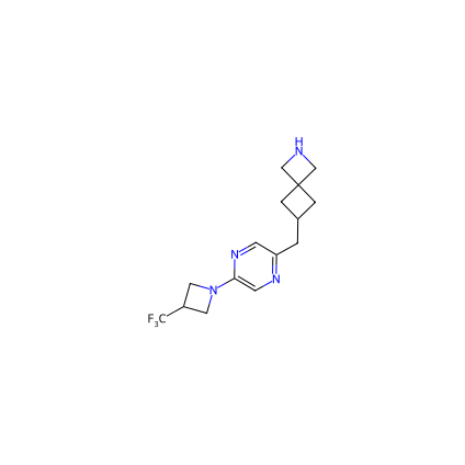 FC(F)(F)C1CN(c2cnc(CC3CC4(CNC4)C3)cn2)C1